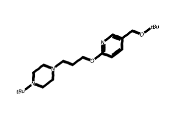 CC(C)(C)OCc1ccc(OCCCN2CCN(C(C)(C)C)CC2)nc1